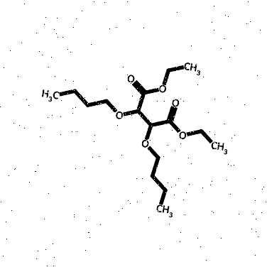 CCCCOC(C(=O)OCC)C(OCCCC)C(=O)OCC